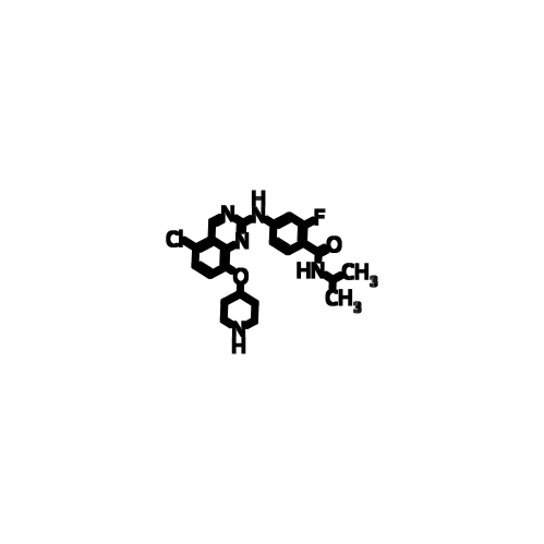 CC(C)NC(=O)c1ccc(Nc2ncc3c(Cl)ccc(OC4CCNCC4)c3n2)cc1F